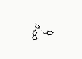 O=C(O)CCc1ccc(OCCc2ccccc2)c(-c2ccc3ccccc3c2)c1